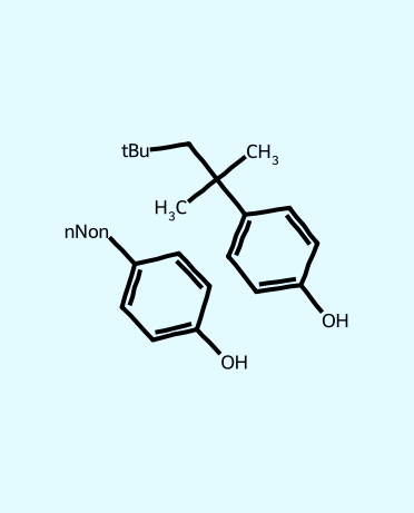 CC(C)(C)CC(C)(C)c1ccc(O)cc1.CCCCCCCCCc1ccc(O)cc1